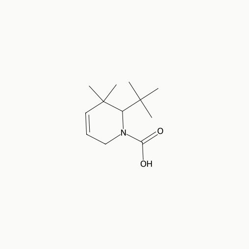 CC(C)(C)C1N(C(=O)O)CC=CC1(C)C